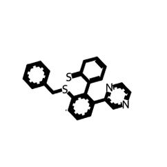 S=C1CC=CC=C1c1c(SCc2ccccc2)[c]ccc1-c1cnccn1